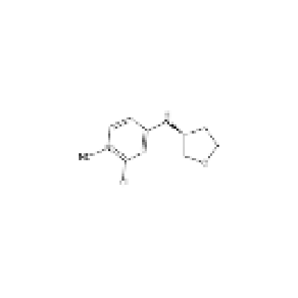 N#C[n+]1ccc(N[C@H]2CCOC2)cc1Cl